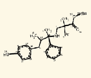 CC(C)C(C)(CNC(C)(c1ccccc1)C(C)Cc1ccc(O)cc1)C(=O)OC(C)(C)C